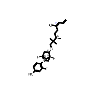 C=C/C=C(/Cl)CC[C@@H](C)C(C)(C)CO[C@@H]1C[C@@H]2C[C@H]1CN2c1ccc(C#N)cc1F